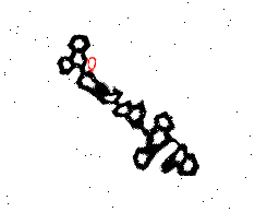 c1ccc2cc(-c3c4ccccc4c(-c4ccc5cc(-c6ccc7c(ccc8c7oc7c9ccccc9c9ccccc9c87)c6)ccc5c4)c4ccccc34)ccc2c1